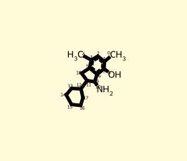 Cc1cc(C)c2c(c1O)C(N)C(C1CCCCC1)C2